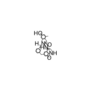 COc1cc(Cc2ccccc2)cc2c1NCC[C@H]2NC(=O)[C@@H](N)Cc1c(C)cc(O)cc1C